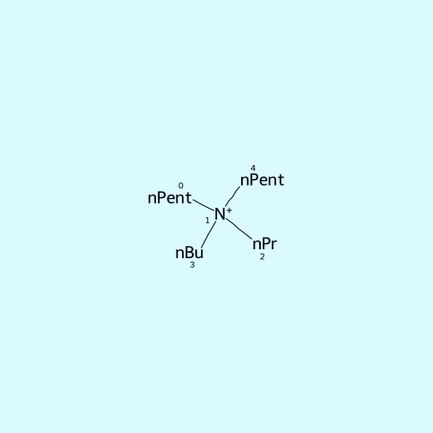 CCCCC[N+](CCC)(CCCC)CCCCC